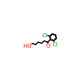 O=C(CCCCCO)c1c(Cl)cccc1Cl